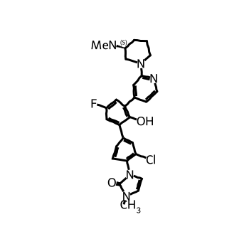 CN[C@H]1CCCN(c2cc(-c3cc(F)cc(-c4ccc(-n5ccn(C)c5=O)c(Cl)c4)c3O)ccn2)C1